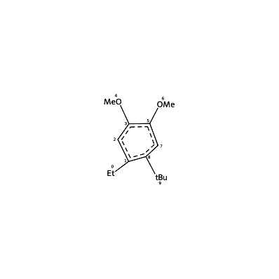 CCc1cc(OC)c(OC)cc1C(C)(C)C